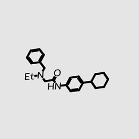 CCN(CC(=O)Nc1ccc(C2CCCCC2)cc1)Cc1ccccc1